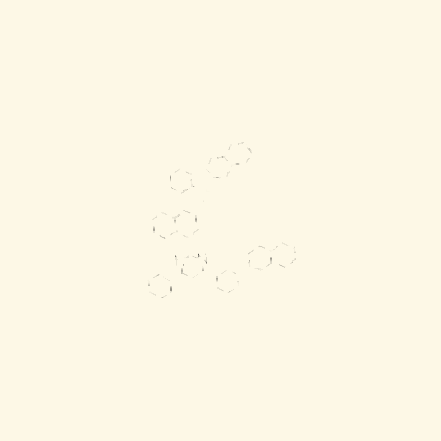 CC1(C)c2cc3ccccc3cc2-c2cccc(-c3ccc(-c4nc(-c5ccccc5)cc(-c5cccc(-c6ccc7ccccc7c6)c5)n4)c4ccccc34)c21